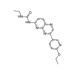 CCNC(=O)Nc1ccc2ncc(-c3ccc(OCC)nc3)nc2n1